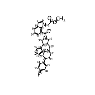 COC(=O)Cn1ccc2cccc(C(=O)N3CC(CN4CCC(c5ccc(F)cc5)CC4)C(c4ccsc4)C3)c21